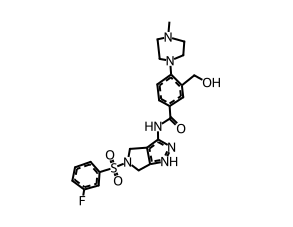 CN1CCN(c2ccc(C(=O)Nc3n[nH]c4c3CN(S(=O)(=O)c3cccc(F)c3)C4)cc2CO)CC1